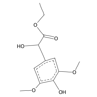 CCOC(=O)C(O)c1cc(OC)c(O)c(OC)c1